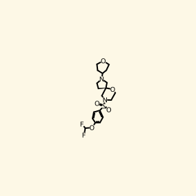 O=S(=O)(c1ccc(OC(F)F)cc1)N1CCO[C@]2(CCN(C3CCOCC3)C2)C1